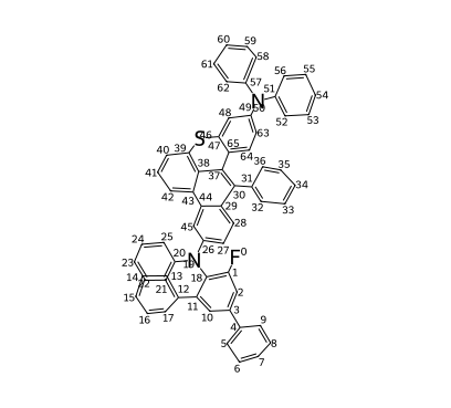 Fc1cc(-c2ccccc2)cc(-c2ccccc2)c1N(c1ccccc1)c1ccc2c(-c3ccccc3)c3c4c(cccc4c2c1)Sc1cc(N(c2ccccc2)c2ccccc2)ccc1-3